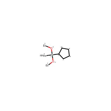 CCCCCC[Si](OCC)(OCC)C1CCCC1